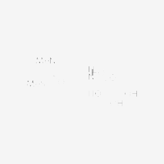 CNC(CCCCNCC1(O)OCC(O)C(O)C1O)C(=O)CSC